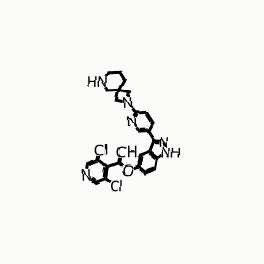 CC(Oc1ccc2[nH]nc(-c3ccc(N4CC5(CCCNC5)C4)nc3)c2c1)c1c(Cl)cncc1Cl